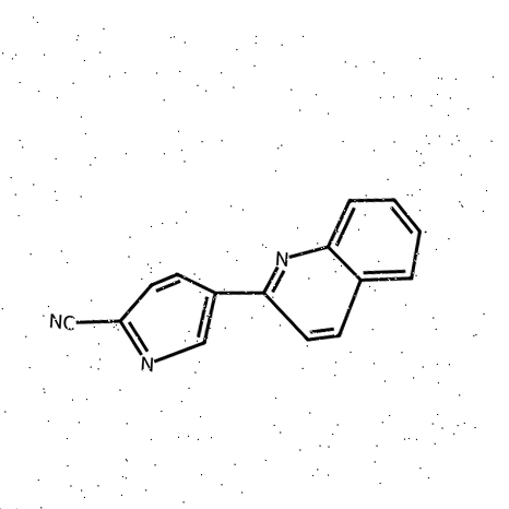 N#Cc1ccc(-c2ccc3c[c]ccc3n2)cn1